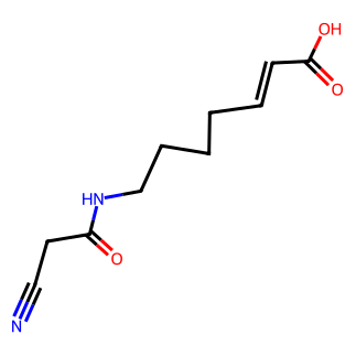 N#CCC(=O)NCCCCC=CC(=O)O